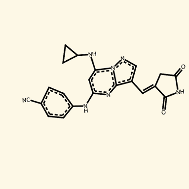 N#Cc1ccc(Nc2cc(NC3CC3)n3ncc(C=C4CC(=O)NC4=O)c3n2)cc1